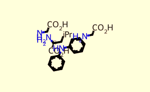 CC(C)C[C@H](N)C(=O)O.NCC(=O)O.NCC(=O)O.c1ccc(Nc2ccccc2)cc1